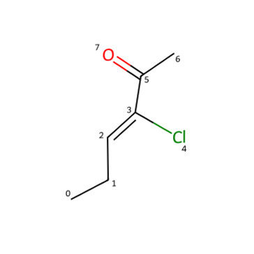 CC/C=C(\Cl)C(C)=O